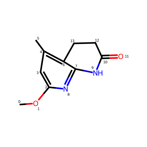 COc1cc(C)c2c(n1)NC(=O)CC2